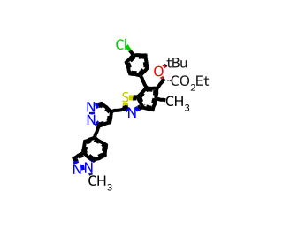 CCOC(=O)[C@@H](OC(C)(C)C)c1c(C)cc2nc(-c3cnnc(-c4ccc5c(cnn5C)c4)c3)sc2c1-c1ccc(Cl)cc1